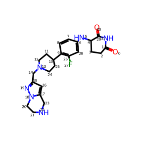 O=C1CCC(Nc2ccc(C3CCN(Cc4cc5n(n4)CCNC5)CC3)c(F)c2)C(=O)N1